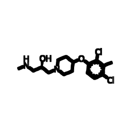 CNC[C@@H](O)CN1CCC(Oc2ccc(Cl)c(C)c2Cl)CC1